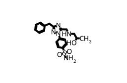 CC(O)CNCc1nc(Cc2ccccc2)nn1-c1ccc(S(N)(=O)=O)cc1